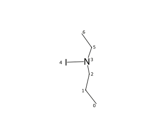 CCCN(I)CC